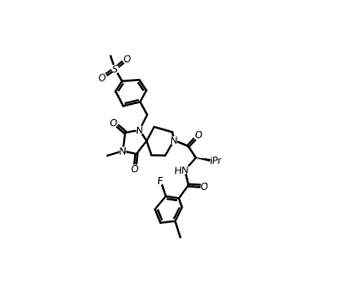 Cc1ccc(F)c(C(=O)N[C@@H](C(=O)N2CCC3(CC2)C(=O)N(C)C(=O)N3Cc2ccc(S(C)(=O)=O)cc2)C(C)C)c1